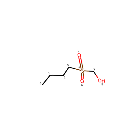 CCCCS(=O)(=O)CO